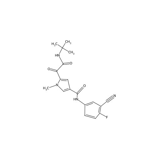 Cn1cc(C(=O)Nc2ccc(F)c(C#N)c2)cc1C(=O)C(=O)NC(C)(C)C